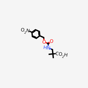 CC(C)(CNC(=O)OCc1ccc([N+](=O)[O-])cc1)C(=O)O